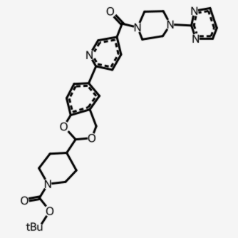 CC(C)(C)OC(=O)N1CCC(C2OCc3cc(-c4ccc(C(=O)N5CCN(c6ncccn6)CC5)cn4)ccc3O2)CC1